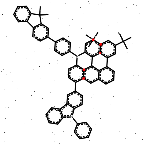 CC(C)(C)c1cc(-c2cccc3cccc(-c4ccccc4N(c4ccc(-c5ccc6c(c5)C(C)(C)c5ccccc5-6)cc4)c4ccc(-c5ccc6c(c5)c5ccccc5n6-c5ccccc5)cc4)c23)cc(C(C)(C)C)c1